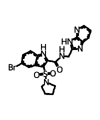 O=C(NCc1nc2cccnc2[nH]1)c1[nH]c2ccc(Br)cc2c1S(=O)(=O)N1CCCC1